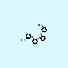 Nc1cccc(Oc2ccccc2Oc2ccccc2Oc2cccc(N)c2)c1